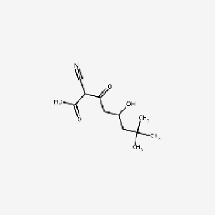 CC(C)(C)CC(O)CC(=O)C(C#N)C(=O)O